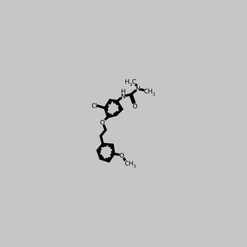 COc1cccc(CCOc2ccc(NC(=O)N(C)C)cc2Cl)c1